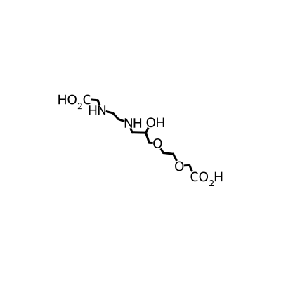 O=C(O)CNCCNCC(O)COCCOCC(=O)O